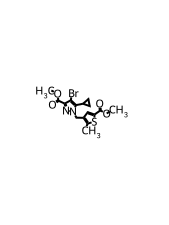 COC(=O)c1cc(Cn2nc(C(=O)OC)c(Br)c2C2CC2)c(C)s1